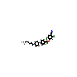 CCCCC[C@H]1CC[C@H](c2ccc(C(F)(F)Oc3cc(F)c(C#N)c(F)c3)cc2)CC1